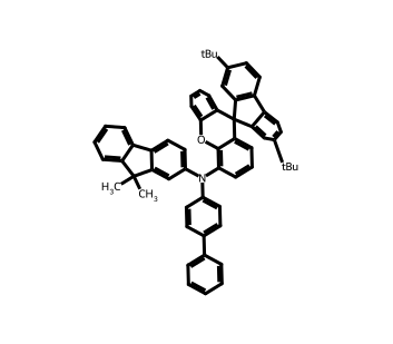 CC(C)(C)c1ccc2c(c1)C1(c3ccccc3Oc3c(N(c4ccc(-c5ccccc5)cc4)c4ccc5c(c4)C(C)(C)c4ccccc4-5)cccc31)c1cc(C(C)(C)C)ccc1-2